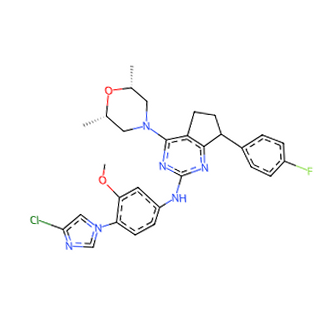 COc1cc(Nc2nc3c(c(N4C[C@@H](C)O[C@@H](C)C4)n2)CCC3c2ccc(F)cc2)ccc1-n1cnc(Cl)c1